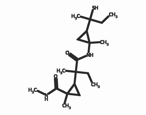 CCC(C)(S)C1CC1(C)NC(=O)C(C)(CC)C1CC1(C)C(=O)NC